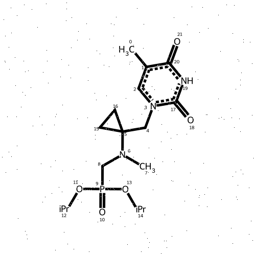 Cc1cn(CC2(N(C)CP(=O)(OC(C)C)OC(C)C)CC2)c(=O)[nH]c1=O